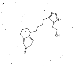 O=C1C=C2CCCC(CCCCc3nnnn3CCO)C2=CC1